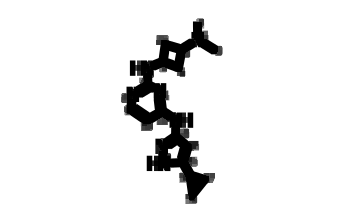 CN(C)C1CC(Nc2nccc(Nc3cc(C4CC4)[nH]n3)n2)C1